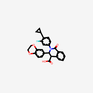 O=C(O)C1c2ccccc2C(=O)N(c2ccc(C3CC3)c(F)c2)C1c1ccc2c(c1)OCCO2